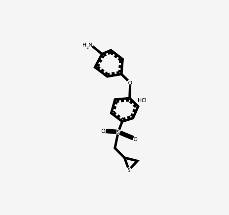 Cl.Nc1ccc(Oc2ccc(S(=O)(=O)CC3CS3)cc2)cc1